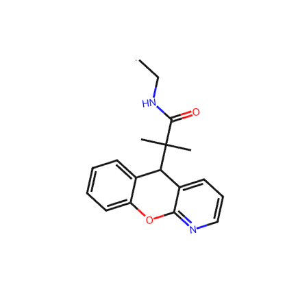 [CH2]CNC(=O)C(C)(C)C1c2ccccc2Oc2ncccc21